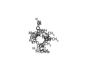 CC[C@H]1OC(=O)[C@H](C)[C@@H](O[C@H]2C[C@@](C)(OC)[C@@H](O)[C@H](C)O2)[C@H](C)[C@@H](O[C@@H]2O[C@H](C)C[C@H](N(C)CCC3=CN([C@H](CF)[C@H](OC)c4ccc(-n5cc(C6CC6)nn5)cc4)NN3)[C@H]2O)[C@](C)(O)C[C@@H](C)CN(C)[C@H](C)[C@@H](O)[C@]1(C)O